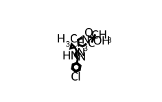 C[C@@H]1CN(C(=O)C(C)(O)C(F)(F)F)CC[C@@H]1C1(c2nnc(-c3ccc(Cl)cc3)[nH]2)CC1